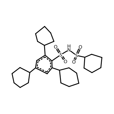 O=S(=O)(NS(=O)(=O)C1CCCCC1)c1c(C2CCCCC2)cc(C2CCCCC2)cc1C1CCCCC1